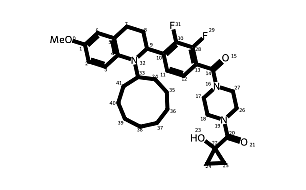 COc1ccc2c(c1)CCC(c1ccc(C(=O)N3CCN(C(=O)C4(O)CC4)CC3)c(F)c1F)N2C1CCCCCCCC1